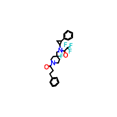 O=C(CCc1ccccc1)N1CCC(F)(CN(C(=O)C(F)(F)F)C2CC2c2ccccc2)CC1